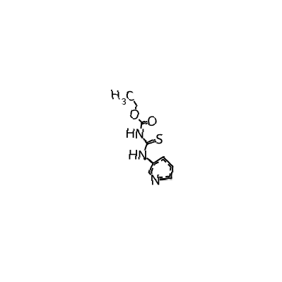 CCOC(=O)NC(=S)Nc1cccnc1